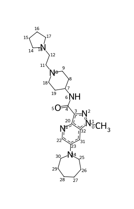 Cn1nc(C(=O)NC2CCN(CCN3CCCC3)CC2)c2ncc(N3CCCCCC3)cc21